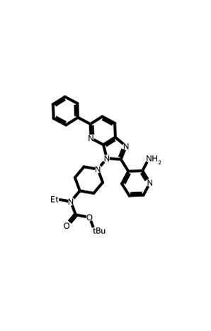 CCN(C(=O)OC(C)(C)C)C1CCN(n2c(-c3cccnc3N)nc3ccc(-c4ccccc4)nc32)CC1